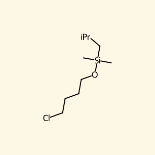 CC(C)C[Si](C)(C)OCCCCCl